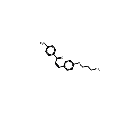 CCCCOc1ccc(/C=C\C(=O)c2ccc(N)cc2)cc1